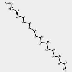 C=COC=CCCCCCCCCCCCCCCCC